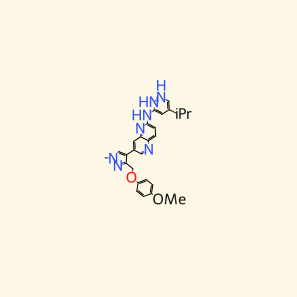 COc1ccc(OCc2nn(C)cc2-c2cnc3ccc(NC4=CC(C(C)C)=CNN4)nc3c2)cc1